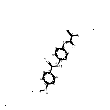 C=C(C)C(=O)Oc1ccc(NC(=O)c2ccc(OC)cc2)cc1